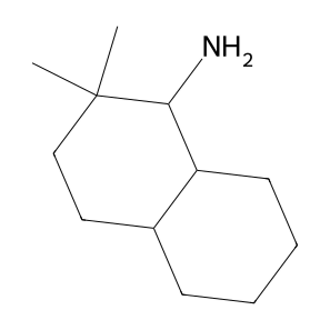 CC1(C)CCC2CCCCC2C1N